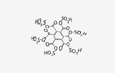 O=C(OS(=O)(=O)O)c1c(C(=O)OS(=O)(=O)O)c(C(=O)OS(=O)(=O)O)c(C(=O)OS(=O)(=O)O)c(C(=O)OS(=O)(=O)O)c1C(=O)OS(=O)(=O)O